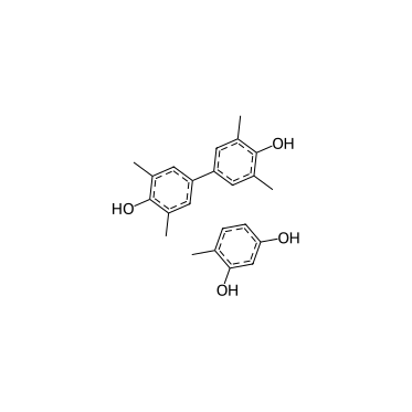 Cc1cc(-c2cc(C)c(O)c(C)c2)cc(C)c1O.Cc1ccc(O)cc1O